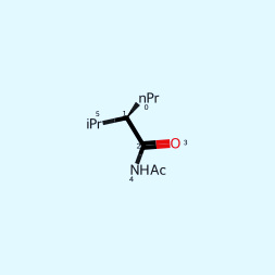 CCC[C@@H](C(=O)NC(C)=O)C(C)C